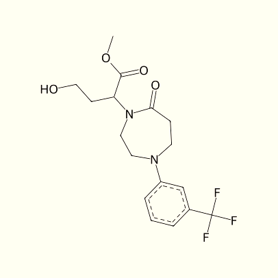 COC(=O)C(CCO)N1CCN(c2cccc(C(F)(F)F)c2)CCC1=O